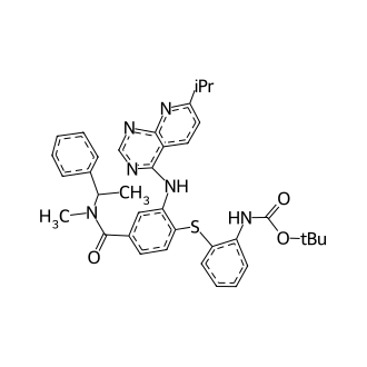 CC(C)c1ccc2c(Nc3cc(C(=O)N(C)C(C)c4ccccc4)ccc3Sc3ccccc3NC(=O)OC(C)(C)C)ncnc2n1